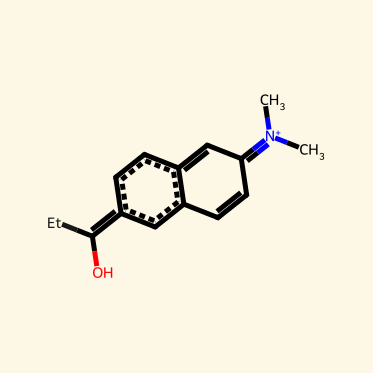 CC/C(O)=c1\ccc2c(c1)C=CC(=[N+](C)C)C=2